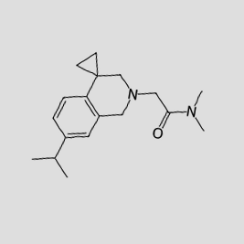 CC(C)c1ccc2c(c1)CN(CC(=O)N(C)C)CC21CC1